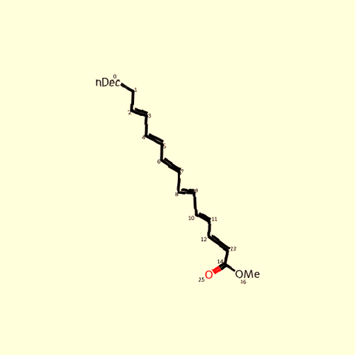 CCCCCCCCCCCC=CC=CC=CC=CC=CC=CC(=O)OC